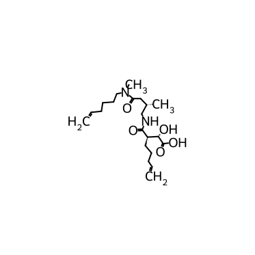 C=CCCCCN(C)C(=O)C[C@H](C)CNC(=O)[C@H](CCCC=C)[C@H](O)C(=O)O